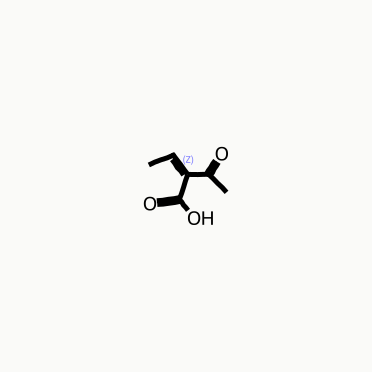 C/C=C(/C(C)=O)C(=O)O